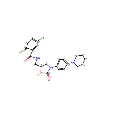 O=C(NC[C@H]1CN(c2ccc(N3CCCCC3)cc2)C(=O)O1)C1=CC(Cl)=CCC1=S